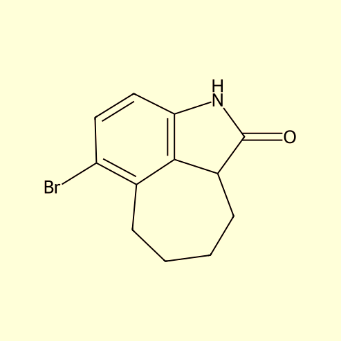 O=C1Nc2ccc(Br)c3c2C1CCCC3